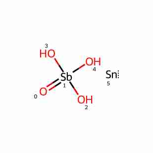 [O]=[Sb]([OH])([OH])[OH].[Sn]